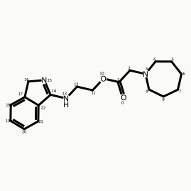 O=C(CN1CCCCCC1)OCCNC1=NCc2ccccc21